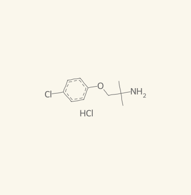 CC(C)(N)COc1ccc(Cl)cc1.Cl